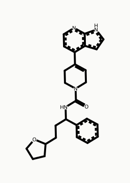 O=C(NC(CCC1CCCO1)c1ccccc1)N1CC=C(c2ccnc3[nH]ccc23)CC1